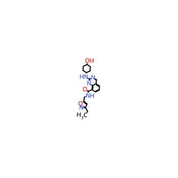 CCc1cc(CNC(=O)c2cccc3cnc(N[C@H]4CC[C@H](O)CC4)nc23)on1